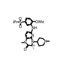 COc1ccc(S(=O)(=O)C(C)C)cc1Nc1ccc2c(n1)N(C1CCN(C)CC1)[C@H](C)C(=O)N2C